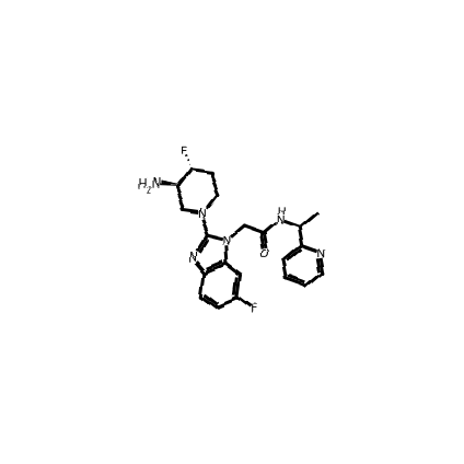 CC(NC(=O)Cn1c(N2CC[C@@H](F)[C@H](N)C2)nc2ccc(F)cc21)c1ccccn1